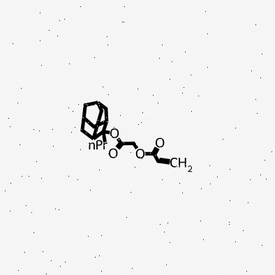 C=CC(=O)OCC(=O)OC1(CCC)C2CC3CC(C2)CC1C3